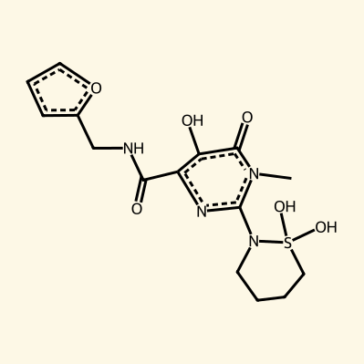 Cn1c(N2CCCCS2(O)O)nc(C(=O)NCc2ccco2)c(O)c1=O